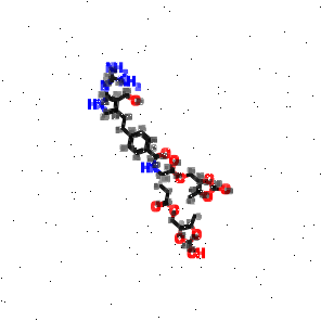 CC1=C(COC(=O)CC[C@H](NC(=O)c2ccc(CCc3c[nH]c(N=C(N)N)c3C=O)cc2)C(=O)OCc2oc(=O)oc2C)OC(O)O1